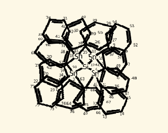 c1cc[c]([Sn]([c]2ccccc2)([c]2ccccc2)[Si]([Sn]([c]2ccccc2)([c]2ccccc2)[c]2ccccc2)([Sn]([c]2ccccc2)([c]2ccccc2)[c]2ccccc2)[Sn]([c]2ccccc2)([c]2ccccc2)[c]2ccccc2)cc1